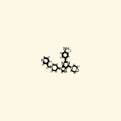 Nc1ccc(-c2nc(N3CCOCC3)c3ncn(C4CCN(Cc5cccnc5)CC4)c3n2)cc1